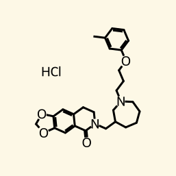 Cc1cccc(OCCCN2CCCCC(CN3CCc4cc5c(cc4C3=O)OCO5)C2)c1.Cl